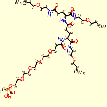 COCCOCCNC(=O)CCC(NC(=O)CCC(NC(=O)CCOCCOCCOCCOCCOP(C)(=O)O)C(=O)NCCOCCOC)C(=O)NCCOCCOC